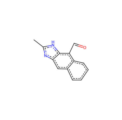 Cc1nc2cc3ccccc3c(C=O)c2[nH]1